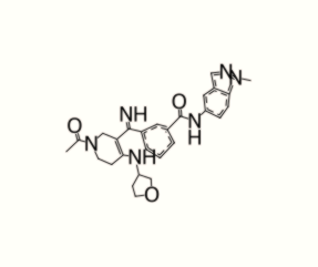 CC(=O)N1CCC(NC2CCOC2)=C(C(=N)c2cccc(C(=O)Nc3ccc4c(cnn4C)c3)c2)C1